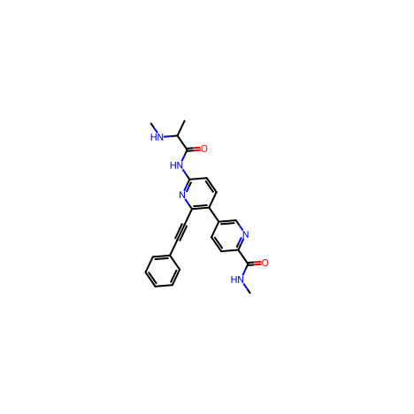 CNC(=O)c1ccc(-c2ccc(NC(=O)C(C)NC)nc2C#Cc2ccccc2)cn1